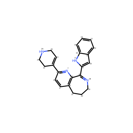 C1=C(c2ccc3c(n2)C(c2cc4ccccc4[nH]2)=NCCC3)CCNC1